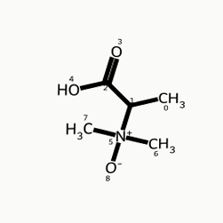 CC(C(=O)O)[N+](C)(C)[O-]